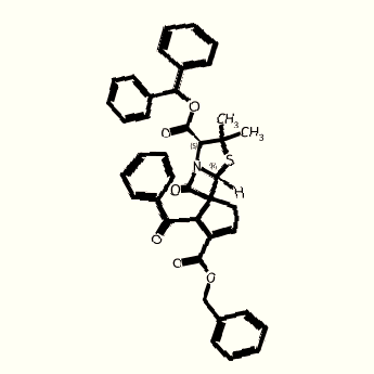 CC1(C)S[C@H]2N(C(=O)C23CC=C(C(=O)OCc2ccccc2)C3C(=O)c2ccccc2)[C@H]1C(=O)OC(c1ccccc1)c1ccccc1